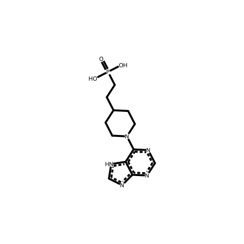 O=P(O)(O)CCC1CCN(c2ncnc3nc[nH]c23)CC1